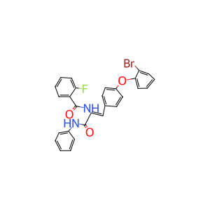 O=C(Nc1ccccc1)C(=Cc1ccc(Oc2ccccc2Br)cc1)NC(=O)c1ccccc1F